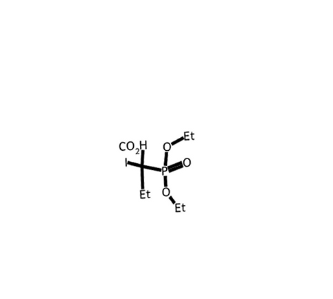 CCOP(=O)(OCC)C(I)(CC)C(=O)O